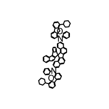 c1ccc(N(c2ccc3c4c(ccc3c2)-c2ccc3cc(N(c5ccccc5)c5cccc6c5oc5c(C7CCCCC7)cccc56)ccc3c2C42c3ccccc3-c3c2ccc2ccccc32)c2cccc3c2oc2c(C4CCCCC4)cccc23)cc1